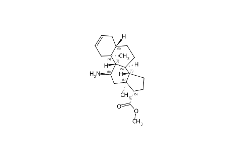 COC(=O)[C@H]1CC[C@H]2[C@@H]3CC[C@H]4CC=CC[C@]4(C)[C@H]3[C@H](N)C[C@]12C